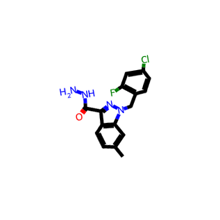 Cc1ccc2c(C(=O)NN)nn(Cc3ccc(Cl)cc3F)c2c1